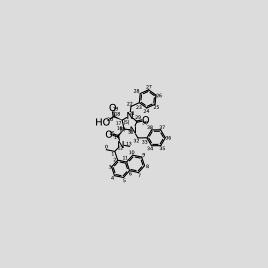 CC(c1cccc2ccccc12)N(C)C(=O)[C@H]1[C@@H](C(=O)O)N(Cc2ccccc2)C(=O)N1Cc1ccccc1